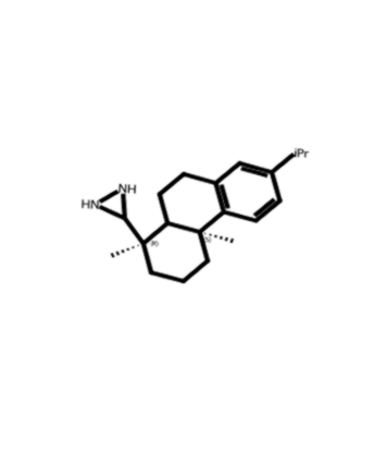 CC(C)c1ccc2c(c1)CCC1[C@](C)(C3NN3)CCC[C@]21C